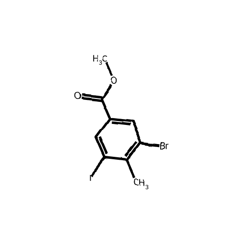 COC(=O)c1cc(Br)c(C)c(I)c1